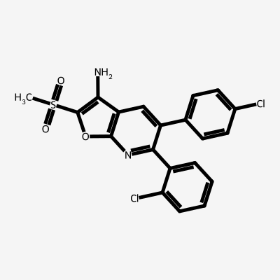 CS(=O)(=O)c1oc2nc(-c3ccccc3Cl)c(-c3ccc(Cl)cc3)cc2c1N